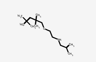 CC(C)CNCCOCC(C)(C)CC(C)(C)O